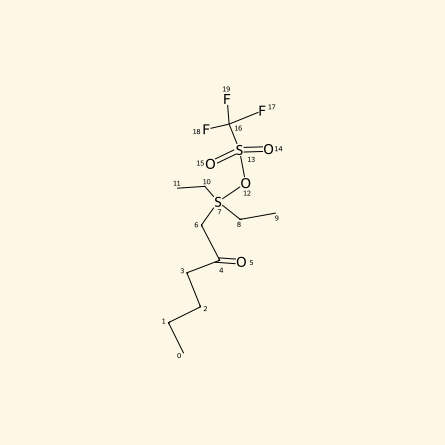 CCCCC(=O)CS(CC)(CC)OS(=O)(=O)C(F)(F)F